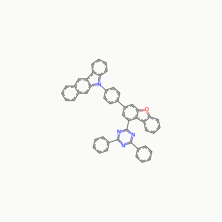 c1ccc(-c2nc(-c3ccccc3)nc(-c3cc(-c4ccc(-n5c6ccccc6c6cc7ccccc7cc65)cc4)cc4oc5ccccc5c34)n2)cc1